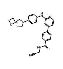 N#CCNC(=O)c1ccc(-c2ccnc(Nc3ccc(N4CC[C@]5(CCO5)C4)cc3)n2)cc1